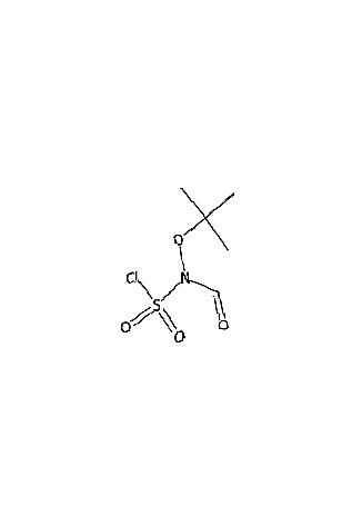 CC(C)(C)ON(C=O)S(=O)(=O)Cl